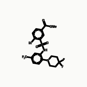 CCc1ccc(C(=O)OC)cc1S(=O)(=O)Nc1cc(C(F)(F)F)ccc1N1CCC(F)(F)CC1